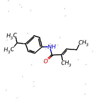 CCC=C(C)C(=O)Nc1ccc(C(C)C)cc1